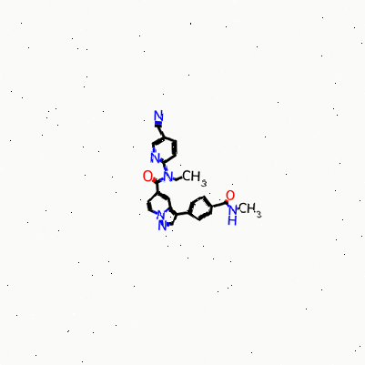 CCN(C(=O)c1ccn2ncc(-c3ccc(C(=O)NC)cc3)c2c1)c1ccc(C#N)cn1